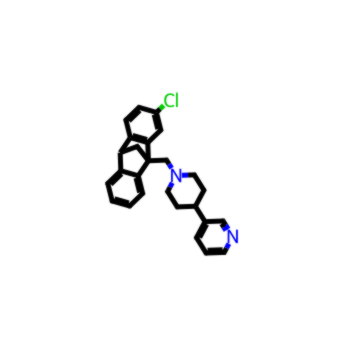 Clc1ccc2c(c1)C1(CN3CCC(c4cccnc4)CC3)CC2c2ccccc21